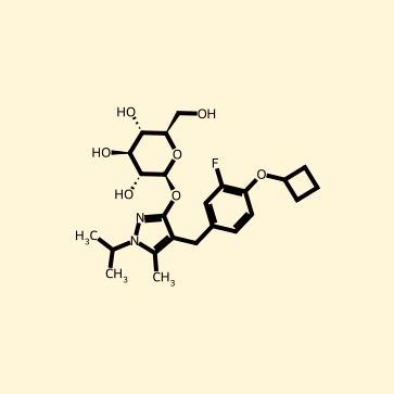 Cc1c(Cc2ccc(OC3CCC3)c(F)c2)c(O[C@@H]2O[C@H](CO)[C@@H](O)[C@H](O)[C@H]2O)nn1C(C)C